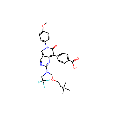 COc1ccc(-n2cc3cnc(N(COCC[Si](C)(C)C)CC(F)(F)F)nc3c(-c3ccc(C(=O)O)cc3)c2=O)cc1